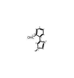 Cn1cnc(-c2ccccc2C=O)c1